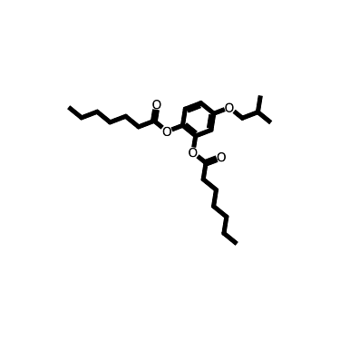 CCCCCCC(=O)Oc1ccc(OCC(C)C)cc1OC(=O)CCCCCC